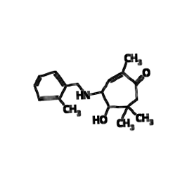 CC1=CC(NCc2ccccc2C)C(O)C(C)(C)CC1=O